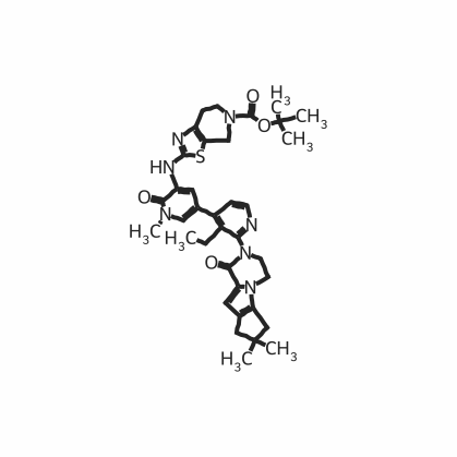 CCc1c(-c2cc(Nc3nc4c(s3)CN(C(=O)OC(C)(C)C)CC4)c(=O)n(C)c2)ccnc1N1CCn2c(cc3c2CC(C)(C)C3)C1=O